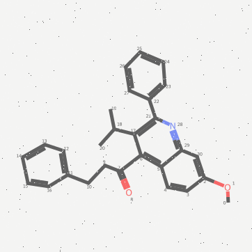 COc1ccc2c(C(=O)CCc3ccccc3)c(C(C)C)c(-c3ccccc3)nc2c1